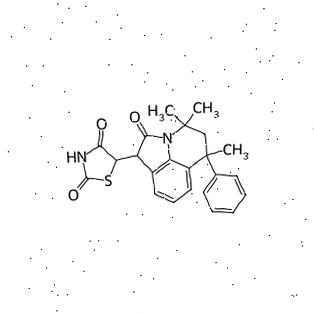 CC1(c2ccccc2)CC(C)(C)N2C(=O)C(C3SC(=O)NC3=O)c3cccc1c32